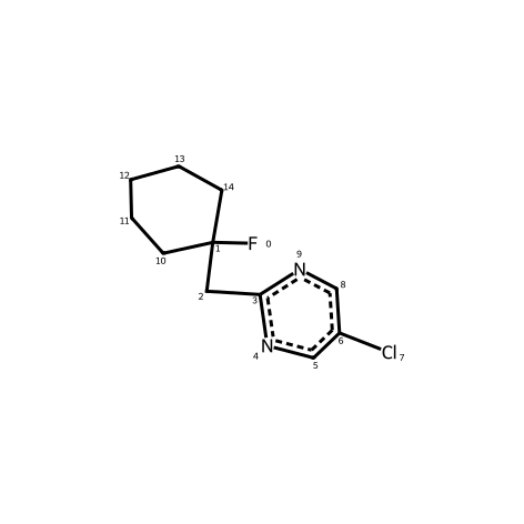 FC1(Cc2ncc(Cl)cn2)CCCCC1